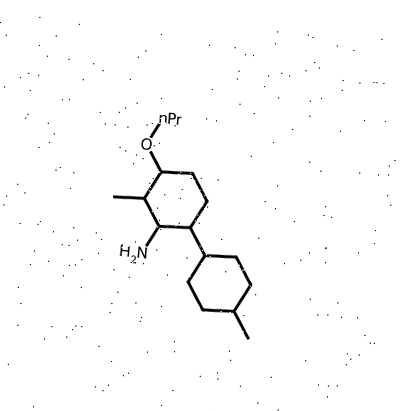 CCCOC1CCC(C2CCC(C)CC2)C(N)C1C